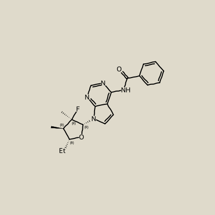 CC[C@H]1O[C@@H](n2ccc3c(NC(=O)c4ccccc4)ncnc32)[C@](C)(F)[C@@H]1C